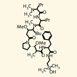 CCC(C)C(C(CC(=O)N1CCC[C@H]1C(OC)C(C)C(=O)NC(Cc1ccccc1)C(=O)NCC[Si](C)(C)O)OC)N(C)C(=O)C(NC(=O)C(C(C)C)N(C)C)C(C)C